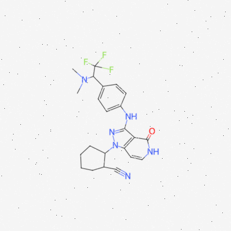 CN(C)C(c1ccc(Nc2nn(C3CCCCC3C#N)c3cc[nH]c(=O)c23)cc1)C(F)(F)F